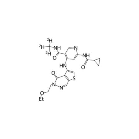 [2H]C([2H])([2H])NC(=O)c1cnc(NC(=O)C2CC2)cc1Nc1csc2cnn(CCOCC)c(=O)c12